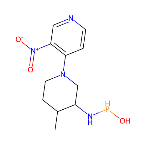 CC1CCN(c2ccncc2[N+](=O)[O-])CC1NPO